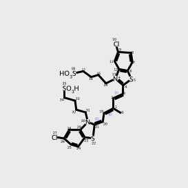 CC(/C=C/c1sc2ccc(Cl)cc2[n+]1CCCCS(=O)(=O)O)=C\C=C1\Sc2ccc(Cl)cc2N1CCCCS(=O)(=O)O